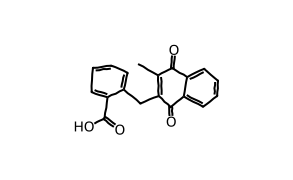 CC1=C(Cc2ccccc2C(=O)O)C(=O)c2ccccc2C1=O